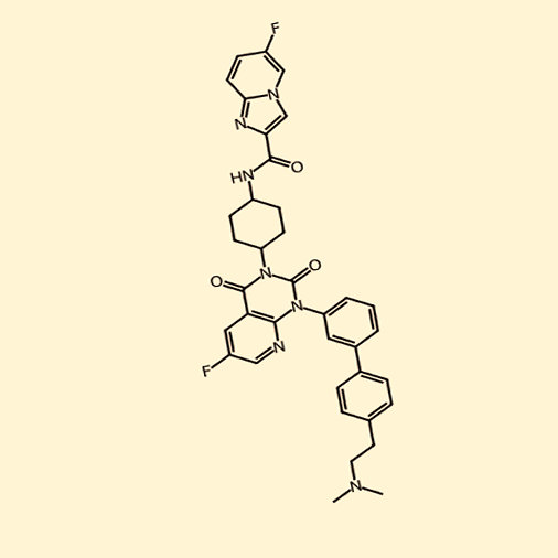 CN(C)CCc1ccc(-c2cccc(-n3c(=O)n(C4CCC(NC(=O)c5cn6cc(F)ccc6n5)CC4)c(=O)c4cc(F)cnc43)c2)cc1